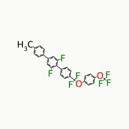 Cc1ccc(-c2cc(F)c(-c3ccc(C(F)(F)Oc4ccc(OC(F)(F)F)cc4)cc3)c(F)c2)cc1